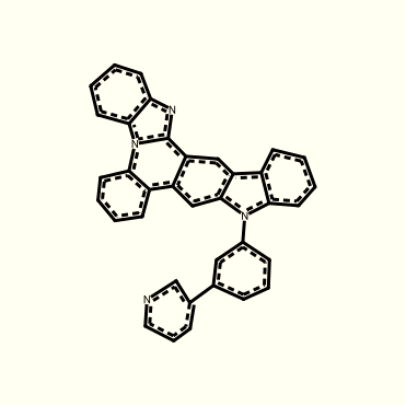 c1cncc(-c2cccc(-n3c4ccccc4c4cc5c(cc43)c3ccccc3n3c4ccccc4nc53)c2)c1